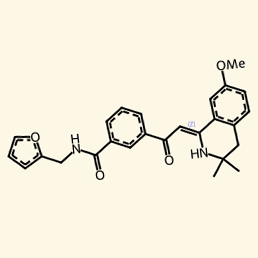 COc1ccc2c(c1)/C(=C/C(=O)c1cccc(C(=O)NCc3ccco3)c1)NC(C)(C)C2